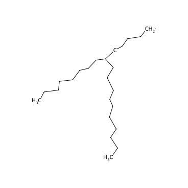 [CH2]CCCCC(CCCCCCCC)CCCCCCCCCC